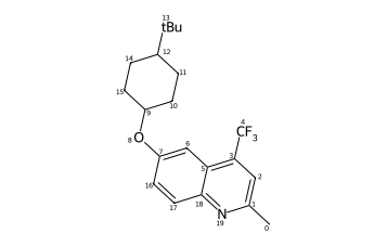 Cc1cc(C(F)(F)F)c2cc(OC3CCC(C(C)(C)C)CC3)ccc2n1